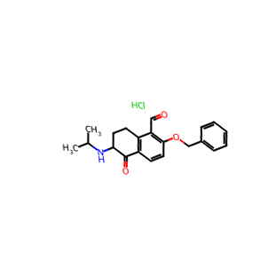 CC(C)NC1CCc2c(ccc(OCc3ccccc3)c2C=O)C1=O.Cl